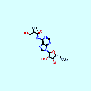 C=C(CO)C(=O)Nc1ncnc2c1ncn2C1O[C@H](CSC)[C@@H](O)[C@H]1O